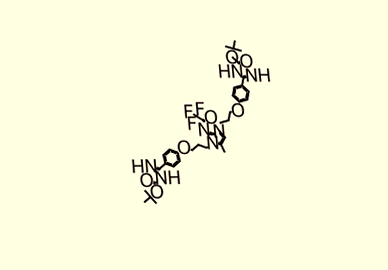 Cc1cn(CCCOc2ccc(C(=N)NC(=O)OC(C)(C)C)cc2)/c(=N\C(=O)C(F)(F)F)n1CCCOc1ccc(C(=N)NC(=O)OC(C)(C)C)cc1